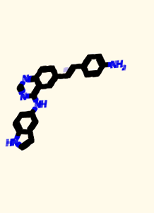 Nc1ccc(/C=C/c2ccc3ncnc(Nc4ccc5[nH]ccc5c4)c3c2)cc1